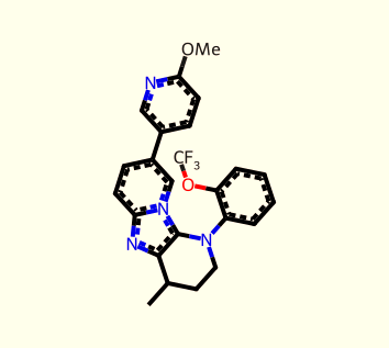 COc1ccc(-c2ccc3nc4c(n3c2)N(c2ccccc2OC(F)(F)F)CCC4C)cn1